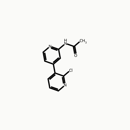 CC(=O)Nc1cc(-c2cccnc2Cl)ccn1